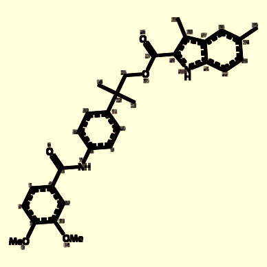 COc1ccc(C(=O)Nc2ccc(C(C)(C)COC(=O)c3[nH]c4ccc(C)cc4c3C)cc2)cc1OC